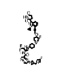 O=C1CCC(c2nn(C3CC3)c3c(C#CCO[C@H]4CCN(C[C@H]5CC[C@H](n6cc(NC(=O)c7cnn8ccc(N9CC(CN%10CC(F)C%10)C9)nc78)c(C(F)F)n6)CC5)C[C@H]4F)cccc23)C(=O)N1